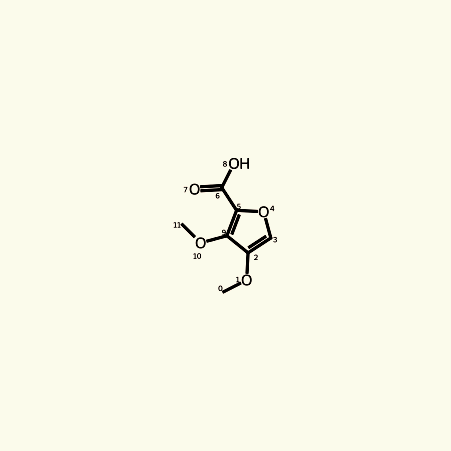 COc1coc(C(=O)O)c1OC